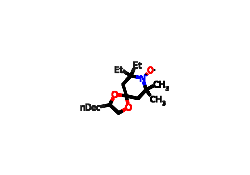 CCCCCCCCCCC1COC2(CC(C)(C)N([O])C(CC)(CC)C2)O1